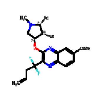 C=CCC(F)(F)c1nc2ccc(OC)cc2nc1O[C@H]1CN(C)[C@H](C(C)=O)[C@@H]1CC